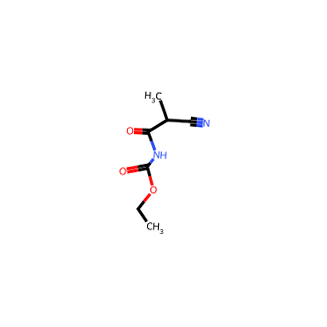 CCOC(=O)NC(=O)C(C)C#N